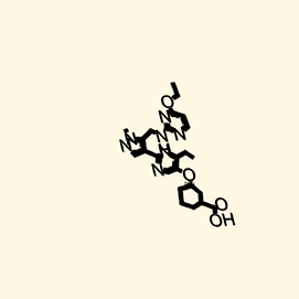 CCOc1ccnc(NCc2c(-c3ncc(O[C@H]4CCCC(C(=O)O)C4)c(CC)n3)cnn2C)n1